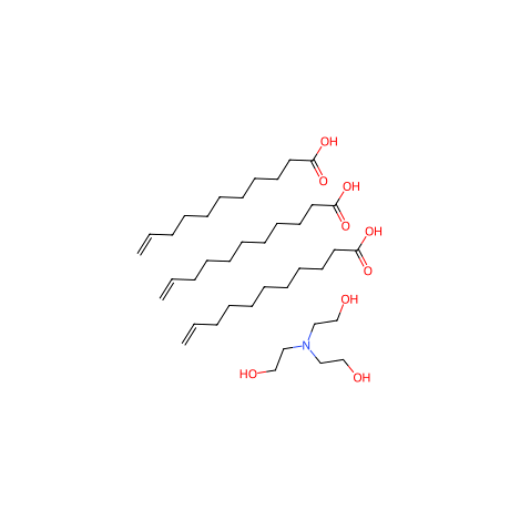 C=CCCCCCCCCC(=O)O.C=CCCCCCCCCC(=O)O.C=CCCCCCCCCC(=O)O.OCCN(CCO)CCO